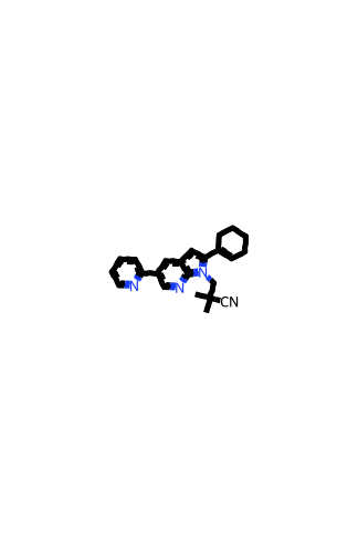 CC(C)(C#N)Cn1c(C2=CCCCC2)cc2cc(-c3ccccn3)cnc21